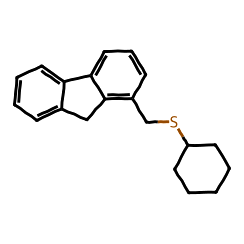 c1ccc2c(c1)Cc1c(CSC3CCCCC3)cccc1-2